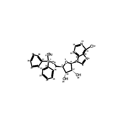 CC(C)(C)[Si](OC[C@H]1O[C@@H](n2cnc3c(Cl)ncnc32)[C@H](O)[C@@H]1O)(c1ccccc1)c1ccccc1